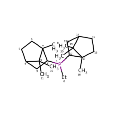 CCP(C1CC2CCC1(C)C2(C)C)C1CC2CCC1(C)C2(C)C